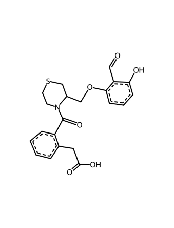 O=Cc1c(O)cccc1OCC1CSCCN1C(=O)c1ccccc1CC(=O)O